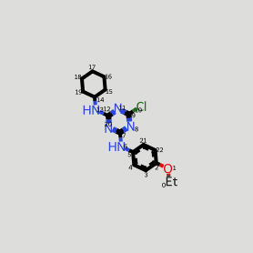 CCOc1ccc(Nc2nc(Cl)nc(NC3CCCCC3)n2)cc1